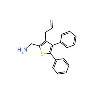 C=CCc1c(CN)sc(-c2ccccc2)c1-c1ccccc1